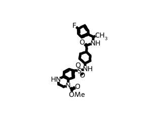 COC(=O)N1CCNc2ccc(S(=O)(=O)NC3CCC(C(=O)NC(C)c4ccc(F)cc4)CC3)cc21